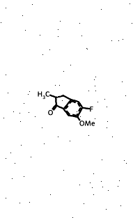 COc1cc2c(cc1F)CC(C)C2=O